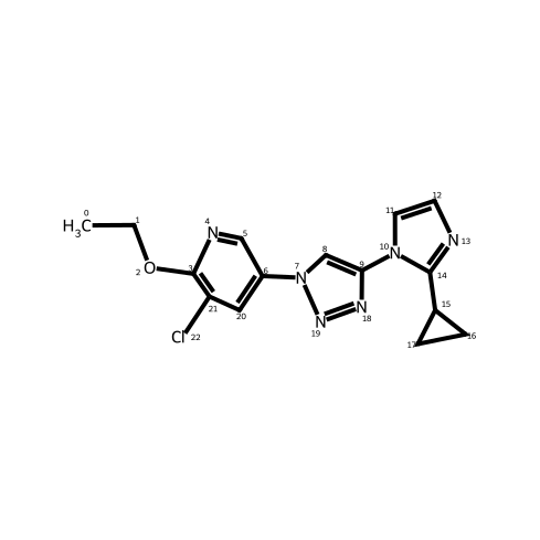 CCOc1ncc(-n2cc(-n3ccnc3C3CC3)nn2)cc1Cl